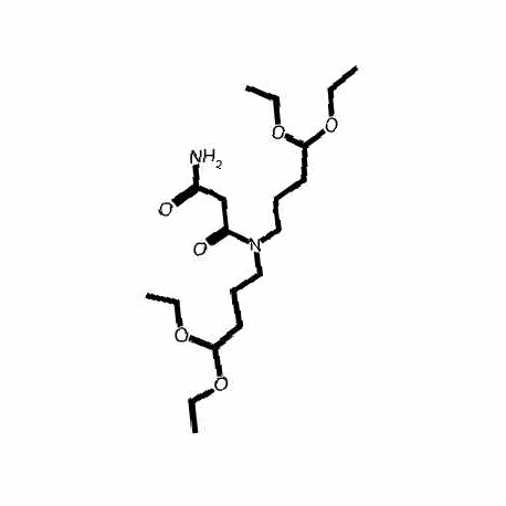 CCOC(CCCN(CCCC(OCC)OCC)C(=O)CC(N)=O)OCC